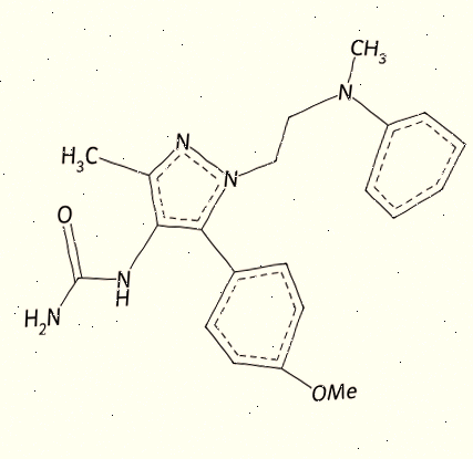 COc1ccc(-c2c(NC(N)=O)c(C)nn2CCN(C)c2ccccc2)cc1